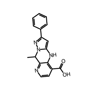 CC1c2nccc(C(=O)O)c2Nc2cc(-c3ccccc3)nn21